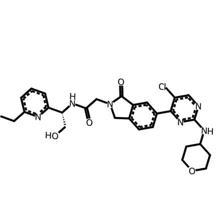 CCc1cccc([C@@H](CO)NC(=O)CN2Cc3ccc(-c4nc(NC5CCOCC5)ncc4Cl)cc3C2=O)n1